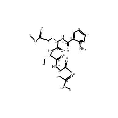 CC[C@H](NC(=O)[C@H](CCC(=O)OC)NC(=O)c1ccccc1N)C(=O)N[C@@H](CC(=O)OC)C(C)=O